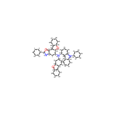 c1ccc(-c2nc3cc(N(c4ccc5c(c4)oc4ccccc45)c4cccc5c4c4ccccc4n5-c4ccccc4)c4oc5ccccc5c4c3o2)cc1